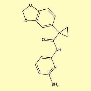 Bc1cccc(NC(=O)C2(c3ccc4c(c3)OCO4)CC2)n1